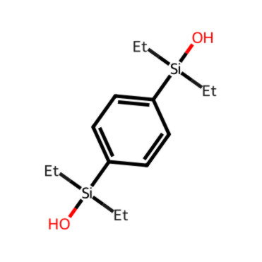 CC[Si](O)(CC)c1ccc([Si](O)(CC)CC)cc1